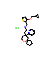 Cl.c1ccc(C2(CCNCc3sccc3OCC3CC3)CCOC3(CCCC3)C2)nc1